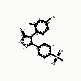 CS(=O)(=O)c1ccc(-c2ssc(=S)c2-c2ccc(F)cc2F)cc1